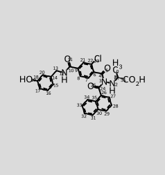 C[C@H](NN(C(=O)c1ccc(C(=O)NCc2cccc(O)c2)cc1Cl)C(=O)c1cccc2ccccc12)C(=O)O